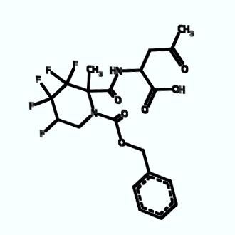 CC(=O)CC(NC(=O)C1(C)N(C(=O)OCc2ccccc2)CC(F)C(F)(F)C1(F)F)C(=O)O